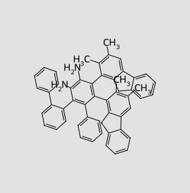 Cc1cc2c(c(-c3c(N)c(N)c(-c4ccccc4-c4ccccc4)c(-c4ccccc4)c3-c3c(C)c(C)cc4c3Cc3ccccc3-4)c1C)Cc1ccccc1-2